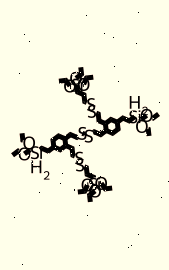 CCOC(OCC)[SiH2]CCC1CCC(CCSSCCC2CCC(CC[SiH2]C(OCC)OCC)CC2CCSSCCC[Si](OCC)(OCC)OCC)C(CCSSCCC[Si](OCC)(OCC)OCC)C1